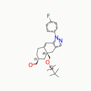 CC(C)(C)[Si](C)(C)OC[C@]12Cc3cnn(-c4ccc(F)cc4)c3C=C1CC[C@H](C=O)C2